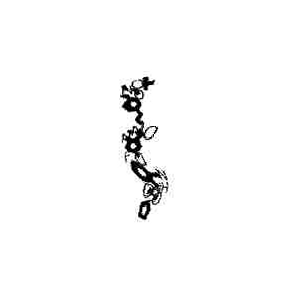 CN(Cc1ccc(CCCn2cnc3ccc(Oc4c(F)ccc(NS(=O)(=O)C5CCCC5)c4C#N)cc3c2=O)cc1)C(=O)OC(C)(C)C